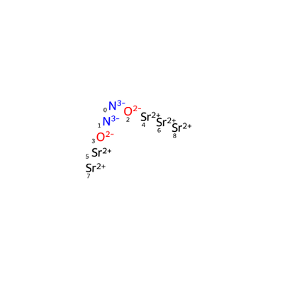 [N-3].[N-3].[O-2].[O-2].[Sr+2].[Sr+2].[Sr+2].[Sr+2].[Sr+2]